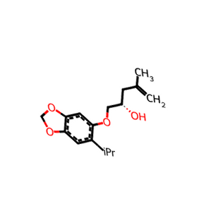 C=C(C)C[C@H](O)COc1cc2c(cc1C(C)C)OCO2